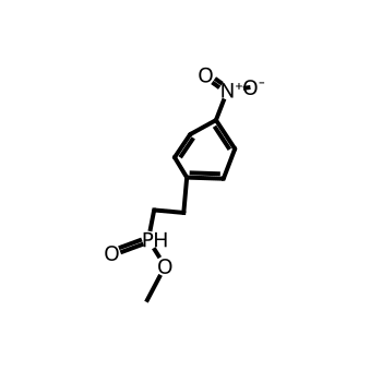 CO[PH](=O)CCc1ccc([N+](=O)[O-])cc1